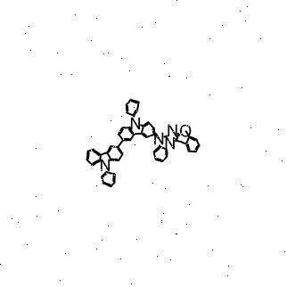 c1ccc(-n2c3ccccc3c3cc(-c4ccc5c(c4)c4cc(-n6c7ccccc7n7c8c(nc67)oc6ccccc68)ccc4n5-c4ccccc4)ccc32)cc1